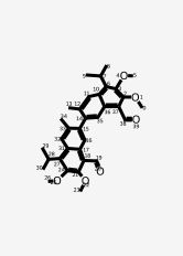 COc1c(OC)c(C(C)C)c2cc(C)c(-c3cc4c(C=O)c(OC)c(OC)c(C(C)C)c4cc3C)cc2c1C=O